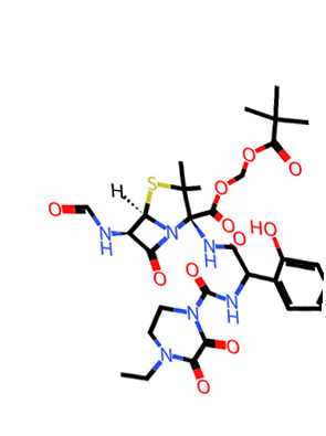 CCN1CCN(C(=O)NC(C(=O)N[C@@]2(C(=O)OCOC(=O)C(C)(C)C)N3C(=O)[C@@H](NC=O)[C@H]3SC2(C)C)c2ccccc2O)C(=O)C1=O